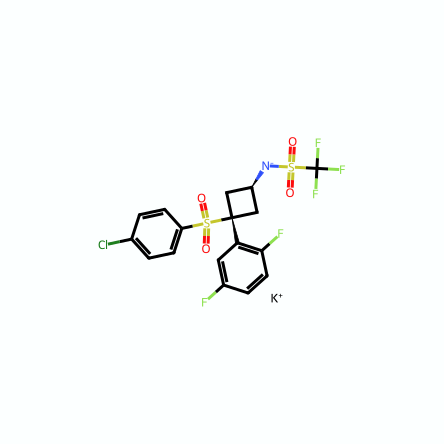 O=S(=O)([N-][C@H]1C[C@](c2cc(F)ccc2F)(S(=O)(=O)c2ccc(Cl)cc2)C1)C(F)(F)F.[K+]